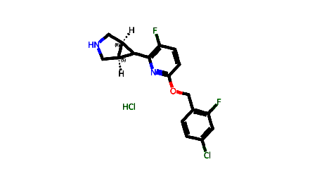 Cl.Fc1cc(Cl)ccc1COc1ccc(F)c(C2[C@H]3CNC[C@@H]23)n1